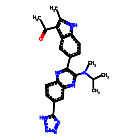 CC(=O)c1c(C)[nH]c2ccc(-c3nc4ccc(-c5nnn[nH]5)cc4nc3N(C)C(C)C)cc12